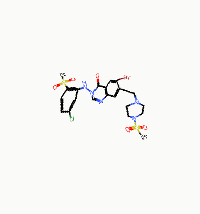 CCS(=O)(=O)c1ccc(Cl)cc1Nn1cnc2cc(CN3CCN(S(=O)(=O)C(C)C)CC3)c(Br)cc2c1=O